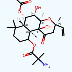 C=C[C@@]1(C)CC(=O)[C@]2(O)[C@@]3(C)C(OC(=O)C(C)(C)N)CCC(C)(C)[C@@H]3[C@H](OC(C)=O)[C@H](O)[C@@]2(C)O1